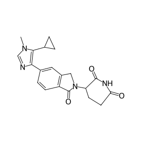 Cn1cnc(-c2ccc3c(c2)CN(C2CCC(=O)NC2=O)C3=O)c1C1CC1